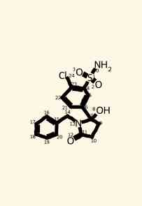 NS(=O)(=O)c1cc(C2(O)CCC(=O)N2Cc2ccccc2)ccc1Cl